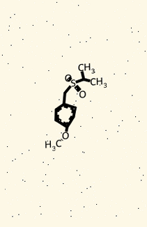 COc1ccc(CS(=O)(=O)[C](C)C)cc1